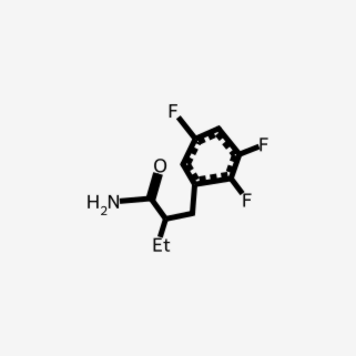 CCC(Cc1cc(F)cc(F)c1F)C(N)=O